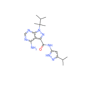 CC(C)c1cc(NC(=O)c2nn(C(C)(C)C(C)C)c3ncnc(N)c23)[nH]n1